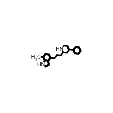 Cc1ccc(CCCC2CC(c3ccccc3)=CCN2)c2cc[nH]c12